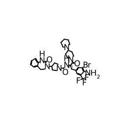 Nc1c(Br)cc(C[C@@H](NC(=O)N2CCC(N3CCc4ccccc4NC3=O)CC2)C(=O)N2CCC(N3CCCCC3)CC2)cc1C(F)(F)F